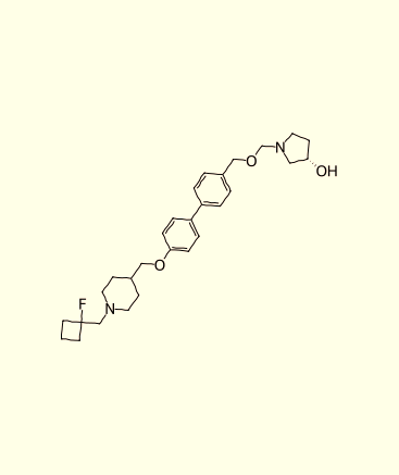 O[C@H]1CCN(COCc2ccc(-c3ccc(OCC4CCN(CC5(F)CCC5)CC4)cc3)cc2)C1